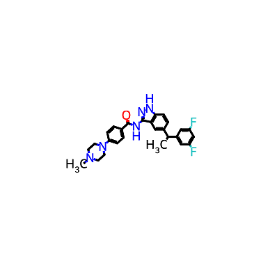 CC(c1cc(F)cc(F)c1)c1ccc2[nH]nc(NC(=O)c3ccc(N4CCN(C)CC4)cc3)c2c1